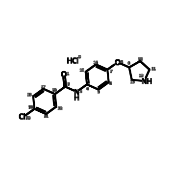 Cl.O=C(Nc1ccc(OC2CCNC2)cc1)c1ccc(Cl)cc1